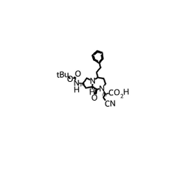 CC(C)(C)OC(=O)N[C@@H]1C[C@H]2C(=O)N([C@H](CC#N)C(=O)O)CCC(CCc3ccccc3)N2C1